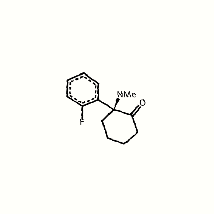 CN[C@]1(c2ccccc2F)CCCCC1=O